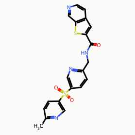 Cc1ccc(S(=O)(=O)c2ccc(CNC(=O)c3cc4ccncc4s3)nc2)cn1